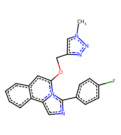 Cn1cc(COc2cc3ccccc3c3cnc(-c4ccc(F)cc4)n23)nn1